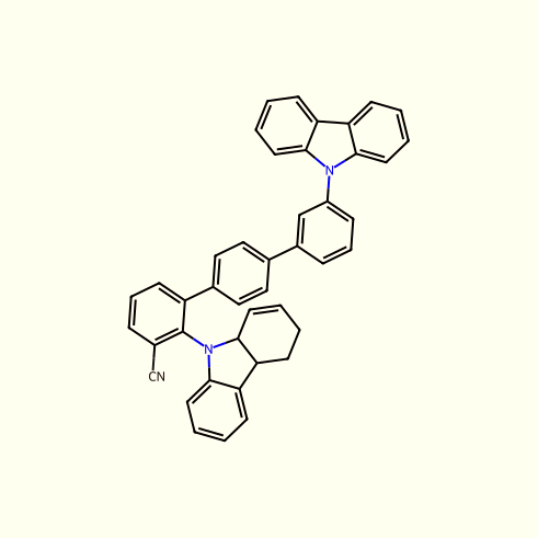 N#Cc1cccc(-c2ccc(-c3cccc(-n4c5ccccc5c5ccccc54)c3)cc2)c1N1c2ccccc2C2CCC=CC21